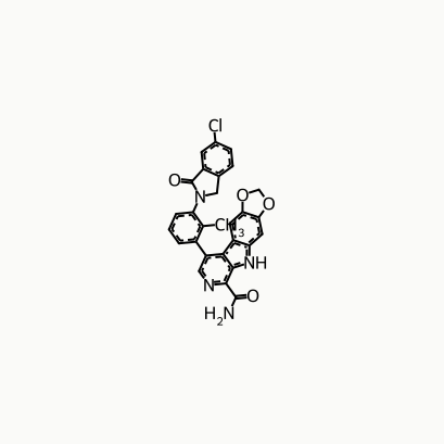 Cc1c(-c2cnc(C(N)=O)c3[nH]c4cc5c(cc4c23)OCO5)cccc1N1Cc2ccc(Cl)cc2C1=O